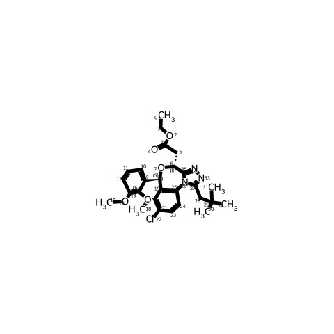 CCOC(=O)C[C@H]1O[C@H](c2cccc(OC)c2OC)c2cc(Cl)ccc2-n2c(CC(C)(C)C)nnc21